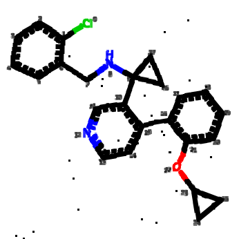 Clc1ccccc1CNC1(c2cnccc2-c2ccccc2OC2CC2)CC1